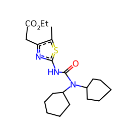 CCOC(=O)Cc1nc(NC(=O)N(C2CCCCC2)C2CCCCC2)sc1C